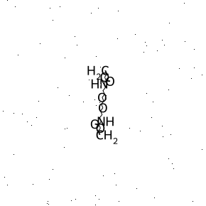 C=COC(=O)NCCCOCCOCCCNC(=O)OC=C